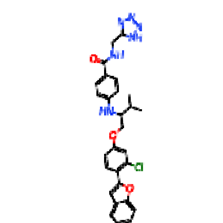 CC(C)C(COc1ccc(-c2cc3ccccc3o2)c(Cl)c1)Nc1ccc(C(=O)NCc2nnn[nH]2)cc1